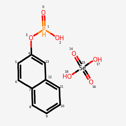 O=[PH](O)Oc1ccc2ccccc2c1.O=[Se](=O)(O)O